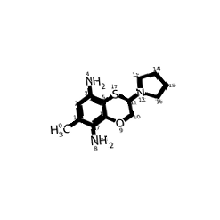 Cc1cc(N)c2c(c1N)OCC(N1CCCC1)S2